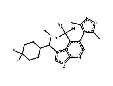 [2H]C([2H])([2H])c1c(-c2c(C)noc2C)cnc2[nH]cc(C(OC)C3CCC(F)(F)CC3)c12